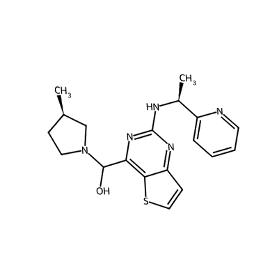 C[C@@H]1CCN(C(O)c2nc(N[C@@H](C)c3ccccn3)nc3ccsc23)C1